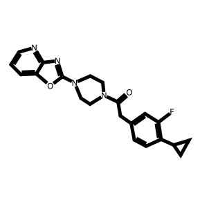 O=C(Cc1ccc(C2CC2)c(F)c1)N1CCN(c2nc3ncccc3o2)CC1